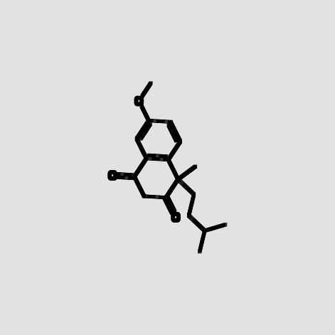 COc1ccc2c(c1)C(=O)CC(=O)C2(C)CCC(C)C